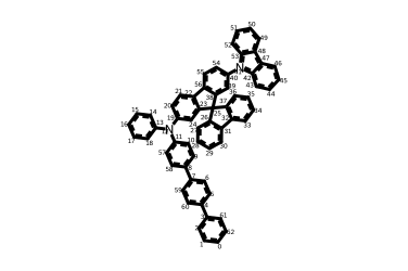 c1ccc(-c2ccc(-c3ccc(N(c4ccccc4)c4ccc5c(c4)C4(c6ccccc6-c6ccccc64)c4cc(-n6c7ccccc7c7ccccc76)ccc4-5)cc3)cc2)cc1